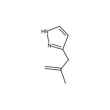 C=C(C)Cc1cc[nH]n1